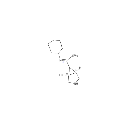 CS/C(=N\C1CCCCC1)C1[C@H]2CNC[C@@H]12